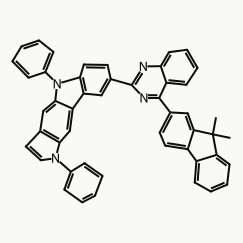 CC1(C)c2ccccc2-c2ccc(-c3nc(-c4ccc5c(c4)c4cc6c(ccn6-c6ccccc6)cc4n5-c4ccccc4)nc4ccccc34)cc21